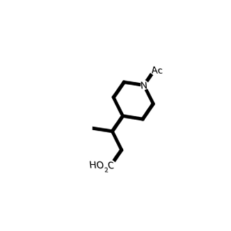 CC(=O)N1CCC(C(C)CC(=O)O)CC1